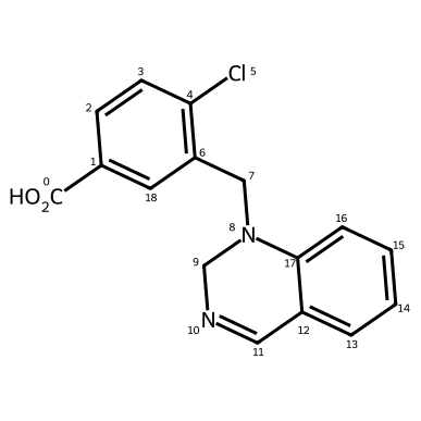 O=C(O)c1ccc(Cl)c(CN2CN=Cc3ccccc32)c1